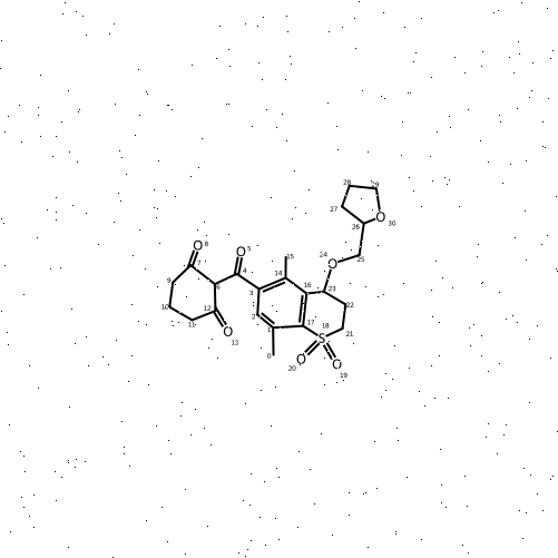 Cc1cc(C(=O)C2C(=O)CCCC2=O)c(C)c2c1S(=O)(=O)CCC2OCC1CCCO1